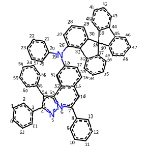 c1ccc(-c2nn3c(-c4ccccc4)cc4ccc(N(c5ccccc5)c5cccc6c5-c5ccccc5C65c6ccccc6-c6ccccc65)cc4c3c2-c2ccccc2)cc1